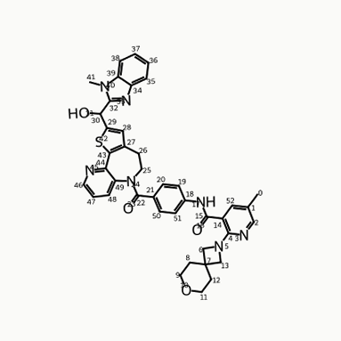 Cc1cnc(N2CC3(CCOCC3)C2)c(C(=O)Nc2ccc(C(=O)N3CCc4cc(C(O)c5nc6ccccc6n5C)sc4-c4ncccc43)cc2)c1